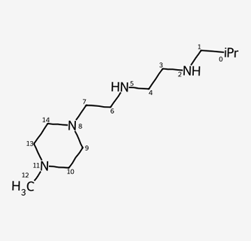 CC(C)CNCCNCCN1CCN(C)CC1